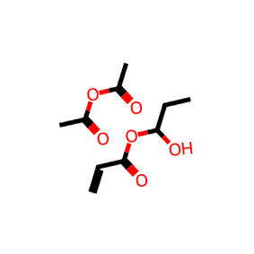 C=CC(=O)OC(O)CC.CC(=O)OC(C)=O